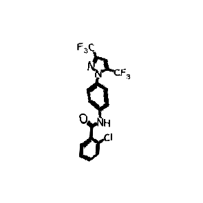 O=C(Nc1ccc(-n2nc(C(F)(F)F)cc2C(F)(F)F)cc1)c1ccccc1Cl